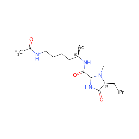 CC(=O)[C@H](CCCCNC(=O)C(F)(F)F)NC(=O)C1NC(=O)[C@H](CC(C)C)N1C